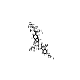 COc1ccc2c(c1)C(=O)N(C[C@H](NC(=O)NC=O)c1cc3cc(C(C)NC(=O)NC=O)ccc3o1)C2